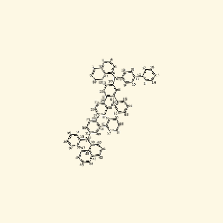 C1=Cc2cccc(N(c3ccc(-c4ccccc4)cc3)c3ccc(-c4ccc(-c5ccc(N(c6ccccc6)c6cccc7ccccc67)cc5-c5ccccc5)cc4)c(-c4ccccc4)c3)c2CC1